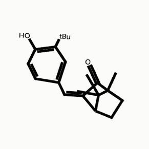 CC(C)(C)c1cc(C=C2C(=O)C3(C)CCC2C3(C)C)ccc1O